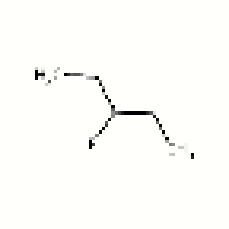 CCC(F)CC